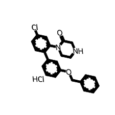 Cl.O=C1CNCCN1c1cc(Cl)ccc1-c1cccc(OCc2ccccc2)c1